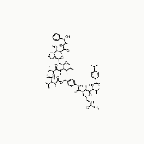 CC[C@H](C)[C@@H]([C@@H](CC(=O)N1CCC[C@H]1[C@H](OC)[C@@H](C)C(=O)N[C@H](C)[C@@H](O)c1ccccc1)OC)N(C)C(=O)[C@@H](NC(=O)[C@H](C(C)C)N(C)C(=O)OCc1ccc(NC(=O)[C@H](CCCNC(N)=O)NC(=O)[C@@H](NC(=O)c2ccc(C(C)C)cc2)C(C)C)cc1)C(C)C